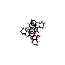 C1=CC2(C3=Cc4ccccc4C3=C1)C1=Cc3ccccc3C1=CC=C2N(c1ccccc1)c1ccccc1-c1cccc2sc3ccccc3c12